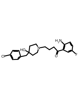 Nc1ccc(F)cc1C(=O)CCCN1CCC(O)(Cc2ccc(Cl)cc2)CC1